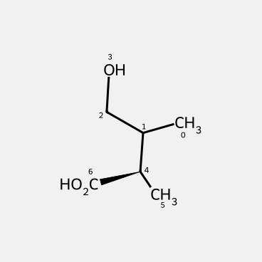 CC(CO)[C@@H](C)C(=O)O